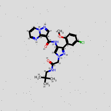 COc1ccc(Cl)cc1-c1nn(CC(=O)NCC(C)(C)C)cc1NC(=O)c1cnn2cccnc12